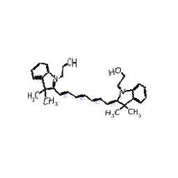 CC1(C)C(/C=C/C=C/C=C/C=C2\N(CCO)c3ccccc3C2(C)C)=[N+](CCO)c2ccccc21